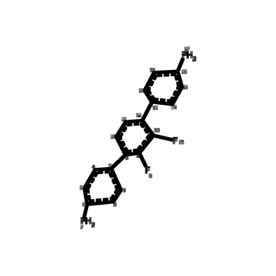 Fc1c(-c2ccc(P)cc2)ccc(-c2ccc(P)cc2)c1F